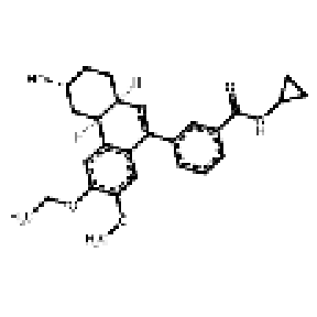 CCOc1cc2c(cc1OC)C(c1cccc(C(=O)NC3CC3)c1)=N[C@@H]1CC[C@@H](O)C[C@H]21